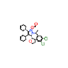 CC(c1ccc(Cl)c(Cl)c1)N1C(C2CCCO2)C(c2ccccc2)=C(c2ccccc2)N1OC=O